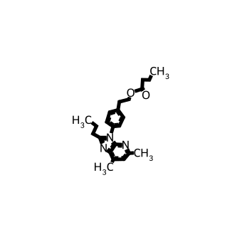 CCCC(=O)OCCc1ccc(-n2c(CCC)nc3c(C)cc(C)nc32)cc1